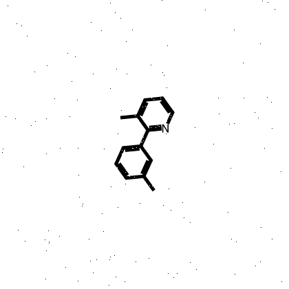 Cc1cccc(-c2ncccc2C)c1